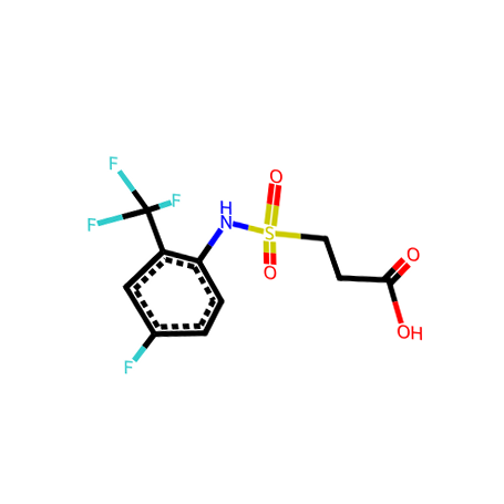 O=C(O)CCS(=O)(=O)Nc1ccc(F)cc1C(F)(F)F